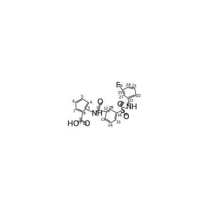 O=C(Nc1ccccc1C(=O)O)c1cccc(S(=O)(=O)Nc2cccc(F)c2)c1